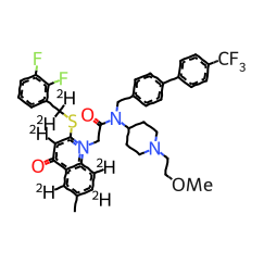 [2H]c1c(C)c([2H])c2c(=O)c([2H])c(SC([2H])([2H])c3cccc(F)c3F)n(CC(=O)N(Cc3ccc(-c4ccc(C(F)(F)F)cc4)cc3)C3CCN(CCOC)CC3)c2c1[2H]